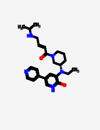 CCN(c1cc(-c2ccncc2)c[nH]c1=O)[C@H]1CCCN(C(=O)C=CCNC(C)C)C1